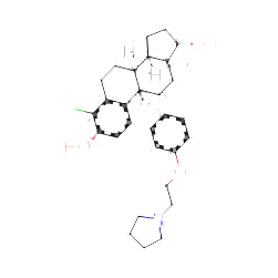 C[C@]12C[C@H](c3ccc(OCCN4CCCC4)cc3)[C@@H]3c4ccc(O)c(Cl)c4CC[C@H]3[C@@H]1CC[C@@H]2O